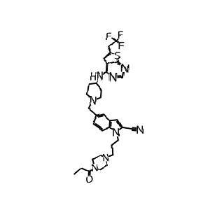 CCC(=O)N1CCN(CCCn2c(C#N)cc3cc(CN4CCC(Nc5ncnc6sc(CC(F)(F)F)cc56)CC4)ccc32)CC1